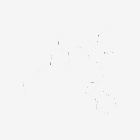 Cc1cc(C#CCO)ccc1NC1=C(C(=O)O)C(=O)/C(=C/c2c[nH]c3ncccc23)O1